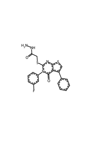 NNC(=O)CSc1nc2scc(-c3ccccc3)c2c(=O)n1-c1cccc(F)c1